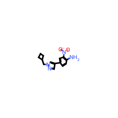 Nc1ccc(-c2cnn(CC3CCC3)c2)cc1[N+](=O)[O-]